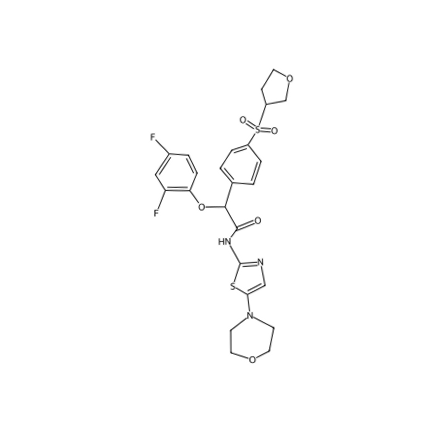 O=C(Nc1ncc(N2CCOCC2)s1)C(Oc1ccc(F)cc1F)c1ccc(S(=O)(=O)C2CCOC2)cc1